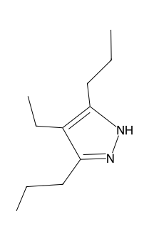 CCCc1n[nH]c(CCC)c1CC